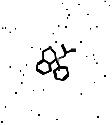 O=C(O)C[C@@]1(c2ccccc2)COCc2ccccc21